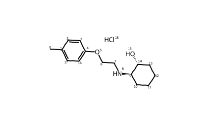 Cc1ccc(OCCN[C@@H]2CCCC[C@H]2O)cc1.Cl